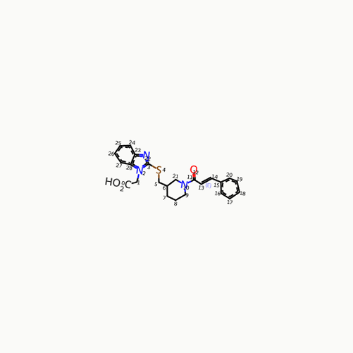 O=C(O)Cn1c(SCC2CCCN(C(=O)/C=C/c3ccccc3)C2)nc2ccccc21